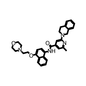 Cc1cc(C(=O)Nc2ccc(OCCN3CCOCC3)c3ccccc23)cc(N2CCc3ccccc3C2)n1